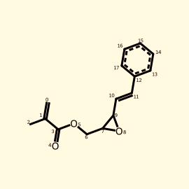 C=C(C)C(=O)OCC1OC1C=Cc1ccccc1